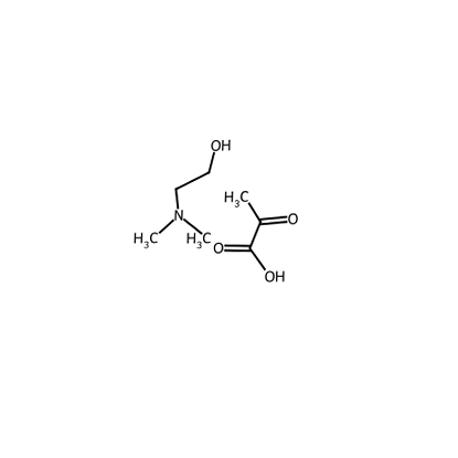 CC(=O)C(=O)O.CN(C)CCO